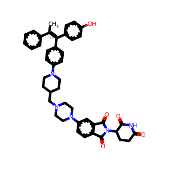 C/C(=C(\c1ccc(O)cc1)c1ccc(N2CCC(CN3CCN(c4ccc5c(c4)C(=O)N(C4CCC(=O)NC4=O)C5=O)CC3)CC2)cc1)c1ccccc1